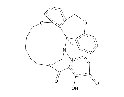 O=C1c2c(O)c(=O)ccn2N2CN1CCCCCOc1cccc3c1[C@H]2c1ccccc1SC3